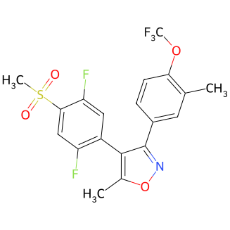 Cc1cc(-c2noc(C)c2-c2cc(F)c(S(C)(=O)=O)cc2F)ccc1OC(F)(F)F